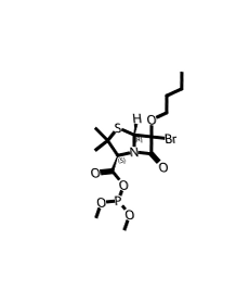 CCCCOC1(Br)C(=O)N2[C@@H](C(=O)OP(OC)OC)C(C)(C)S[C@@H]21